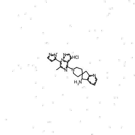 Cc1nc(N2CCC3(CC2)Cc2ncccc2[C@H]3N)c2ccnn2c1-c1ccnn1C.Cl